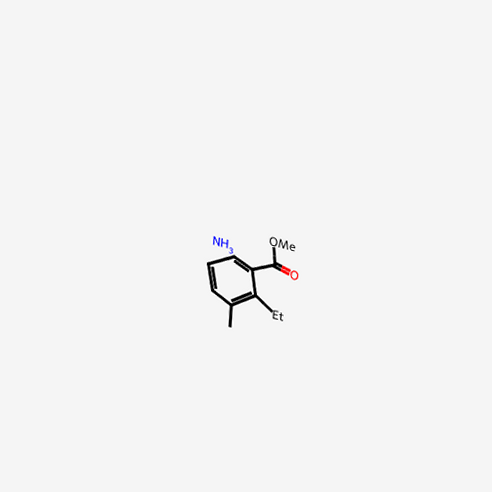 CCc1c(C)cccc1C(=O)OC.N